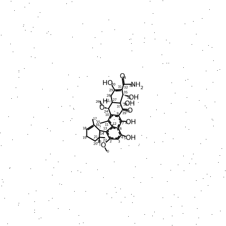 COc1cc(O)c2c(O)c3c(c4c2c1[C@]1(C4)C(C)=CCCC1(C)C)[C@@H](OC)[C@H]1CC(O)=C(C(N)=O)[C@@H](O)[C@@]1(O)C3=O